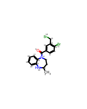 CC1CCN(C(=O)c2ccc(Br)c(CBr)c2)c2ccccc2N1